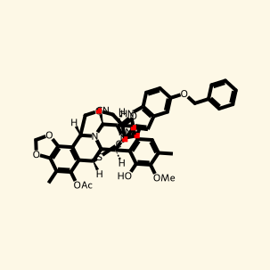 COc1c(C)cc2c(c1O)[C@H]1C3[C@@H]4SC[C@]5(NCCc6c5[nH]c5ccc(OCc7ccccc7)cc65)C(=O)COC[C@@H](c5c6c(c(C)c(OC(C)=O)c54)OCO6)N3[C@@H](C#N)[C@@H](C2)N1C